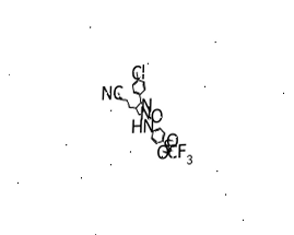 N#CCCCC1CN(C(=O)Nc2ccc(S(=O)(=O)C(F)(F)F)cc2)N=C1c1ccc(Cl)cc1